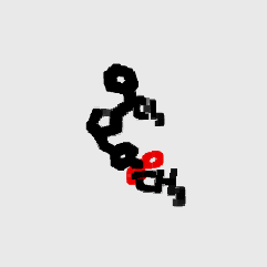 COC(=O)c1ccc(CC2CC[C@H]([C@H](C)c3ccccc3)C2)cc1